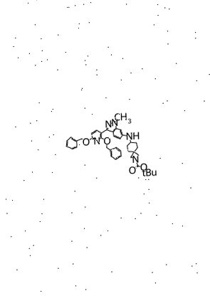 Cn1nc(-c2ccc(OCc3ccccc3)nc2OCc2ccccc2)c2ccc(NC3CCC4(CC3)CN(C(=O)OC(C)(C)C)C4)cc21